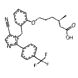 C[C@H](CCCOc1ccccc1Cn1c(C#N)cnc1-c1ccc(C(F)(F)F)cc1)CC(=O)O